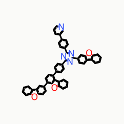 c1cncc(-c2ccc(-c3nc(-c4ccc(-c5ccc(-c6ccc7oc8ccccc8c7c6)c6oc7ccccc7c56)cc4)nc(-c4ccc5c(c4)oc4ccccc45)n3)cc2)c1